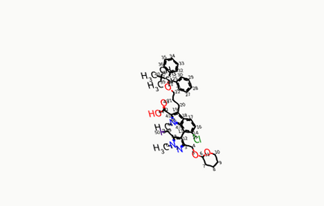 Cn1nc(COC2CCCCO2)c(-c2c(Cl)ccc3c(CCCO[Si](c4ccccc4)(c4ccccc4)C(C)(C)C)c(C(=O)O)n(C)c23)c1CI